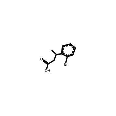 CC(CC(=O)O)c1ccccc1Br